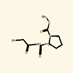 CC(C)CC(=O)NC(=O)[C@@H]1CCCN1C(=O)OC(C)(C)C